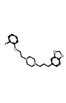 Fc1ccccc1OCCN1CCN(CCCc2ccc3c(c2)OCO3)CC1